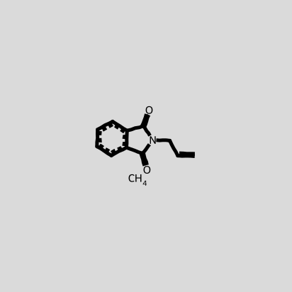 C.C=CCN1C(=O)c2ccccc2C1=O